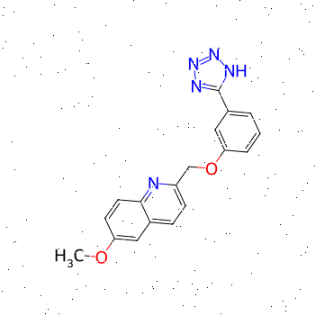 COc1ccc2nc(COc3cccc(-c4nnn[nH]4)c3)ccc2c1